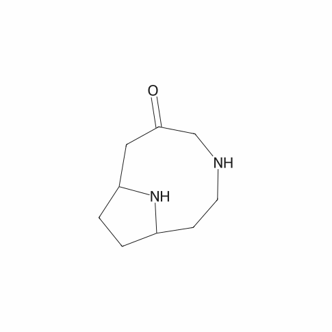 O=C1CNCCC2CCC(C1)N2